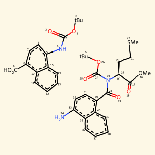 CC(C)(C)OC(=O)Nc1ccc(C(=O)O)c2ccccc12.COC(=O)[C@H](CCSC)N(C(=O)OC(C)(C)C)C(=O)c1ccc(N)c2ccccc12